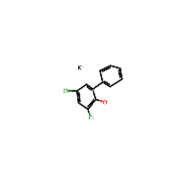 [K+].[O-]c1c(Cl)cc(Cl)cc1-c1ccccc1